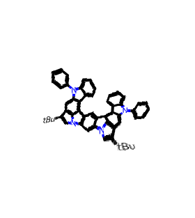 CC(C)(C)c1cn2c3cc4c(cc3c3c5c6ccccc6n(-c6ccccc6)c5cc1c32)c1c2c3ccccc3n(-c3ccccc3)c2cc2c(C(C)(C)C)cn4c21